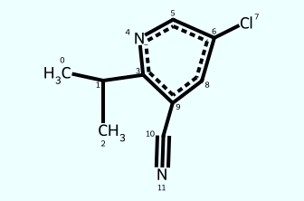 CC(C)c1ncc(Cl)cc1C#N